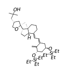 C=C1/C(=C\C=C2/CCC[C@@]3(C)[C@H]2CC[C@@H]3[C@]2(C)C[C@@H](CC(C)(C)O)CO2)C[C@@H](O[Si](CC)(CC)CC)C[C@@H]1O[Si](CC)(CC)CC